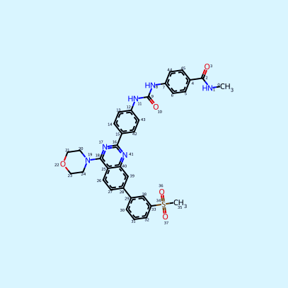 CNC(=O)c1ccc(NC(=O)Nc2ccc(-c3nc(N4CCOCC4)c4ccc(-c5cccc(S(C)(=O)=O)c5)cc4n3)cc2)cc1